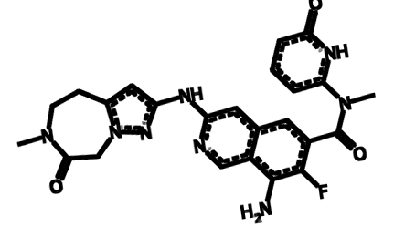 CN1CCc2cc(Nc3cc4cc(C(=O)N(C)c5cccc(=O)[nH]5)c(F)c(N)c4cn3)nn2CC1=O